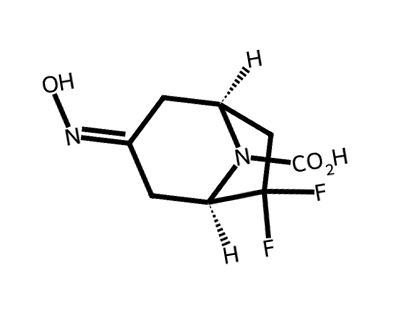 O=C(O)N1[C@H]2C/C(=N\O)C[C@@H]1C(F)(F)C2